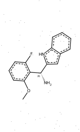 COc1cccc(F)c1[C@@H](N)c1cc2ccccc2[nH]1